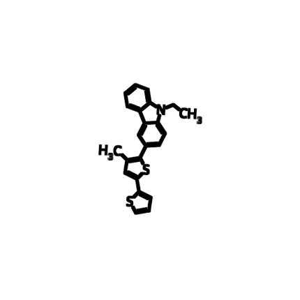 CCn1c2ccccc2c2cc(-c3sc(-c4cccs4)cc3C)ccc21